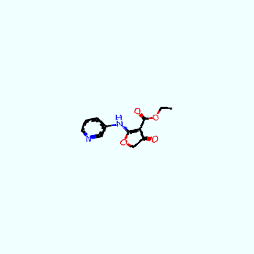 CCOC(=O)C1=C(Nc2cccnc2)OCC1=O